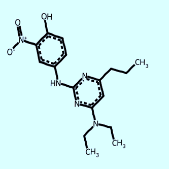 CCCc1cc(N(CC)CC)nc(Nc2ccc(O)c([N+](=O)[O-])c2)n1